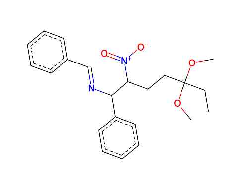 CCC(CCC(C(N=Cc1ccccc1)c1ccccc1)[N+](=O)[O-])(OC)OC